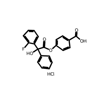 Cl.O=C(O)c1ccc(OC(=O)C(O)(c2ccccc2)c2ccccc2F)cc1